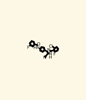 N#Cc1[nH]c(-c2c(F)cccc2Cl)nc1-c1ccc(NC(=O)c2cccc(F)c2)cc1